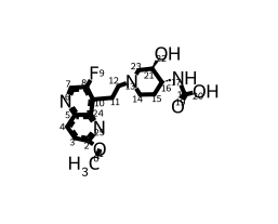 COc1ccc2ncc(F)c(CCN3CC[C@@H](NC(=O)O)[C@H](O)C3)c2n1